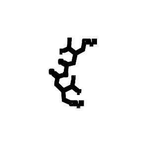 O=C(O)CC(CC(=O)OC(=O)CC(CC(=O)O)C(F)F)C(F)F